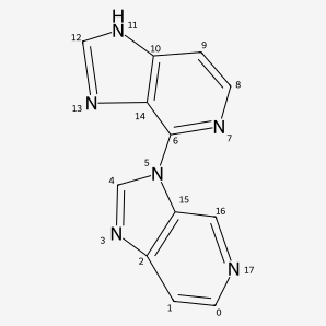 c1cc2ncn(-c3nccc4[nH]cnc34)c2cn1